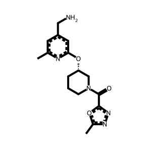 Cc1cc(CN)cc(O[C@H]2CCCN(C(=O)c3nnc(C)o3)C2)n1